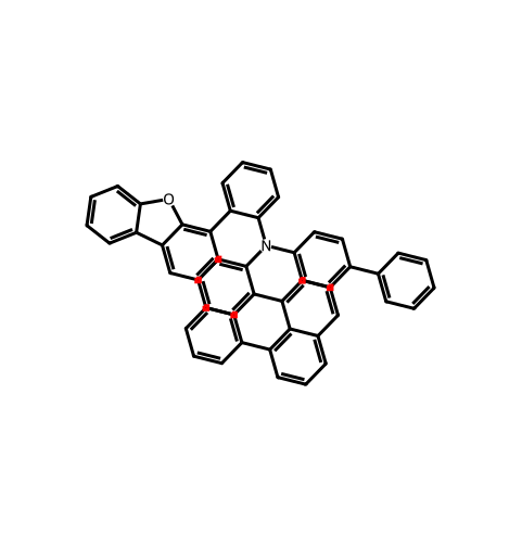 c1ccc(-c2ccc(N(c3ccccc3-c3cccc4c3oc3ccccc34)c3ccccc3-c3cccc4cccc(-c5ccccc5)c34)cc2)cc1